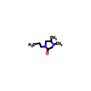 CCCN1CC(C)N(C)CC1=O